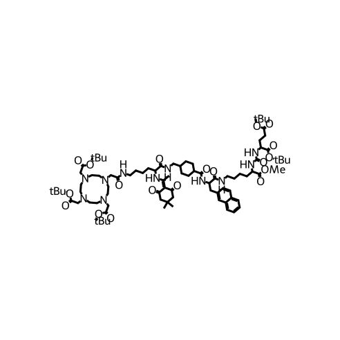 COC(=O)C(CCCCNC(=O)C(Cc1ccc2ccccc2c1)NC(=O)C1CCC(CNC(=O)C(CCCCNC(=O)CN2CCN(CC(=O)OC(C)(C)C)CCN(CC(=O)OC(C)(C)C)CCN(CC(=O)OC(C)(C)C)CC2)NC(C)=C2C(=O)CC(C)(C)CC2=O)CC1)NC(=O)NC(CCC(=O)OC(C)(C)C)C(=O)OC(C)(C)C